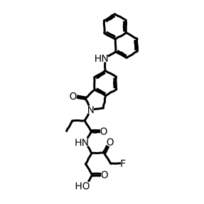 CCC(C(=O)NC(CC(=O)O)C(=O)CF)N1Cc2ccc(Nc3cccc4ccccc34)cc2C1=O